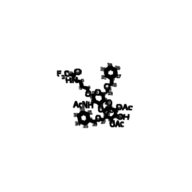 CC(=O)N[C@H]1[C@H](OCCCNC(=O)C(F)(F)F)O[C@H](COCc2ccccc2)[C@@H](O[C@@H]2O[C@H](COCc3ccccc3)[C@H](OC(C)=O)[C@H](O)[C@H]2OC(C)=O)[C@@H]1OC(C)=O